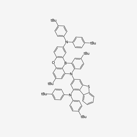 CC(C)(C)c1ccc(N(c2ccc(C(C)(C)C)cc2)c2ccc3c(c2)B2c4cc(C(C)(C)C)ccc4N(c4cc(N(c5ccc(C(C)(C)C)cc5)c5ccc(C(C)(C)C)cc5)c5c(c4)sc4ccccc45)c4cc(C(C)(C)C)cc(c42)O3)cc1